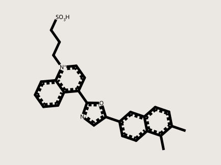 Cc1ccc2cc(-c3cnc(-c4cc[n+](CCCS(=O)(=O)O)c5ccccc45)o3)ccc2c1C